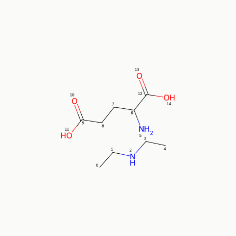 CCNCC.NC(CCC(=O)O)C(=O)O